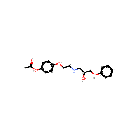 CC(=O)Oc1ccc(OCCNCC(O)COc2ccccc2)cc1